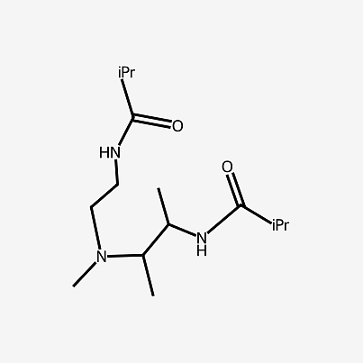 CC(C)C(=O)NCCN(C)C(C)C(C)NC(=O)C(C)C